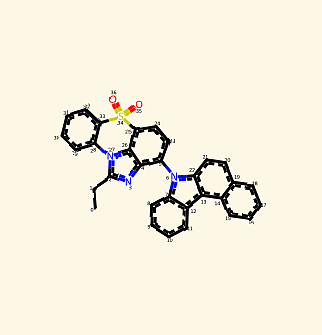 CCc1nc2c(-n3c4ccccc4c4c5ccccc5ccc43)ccc3c2n1-c1ccccc1S3(=O)=O